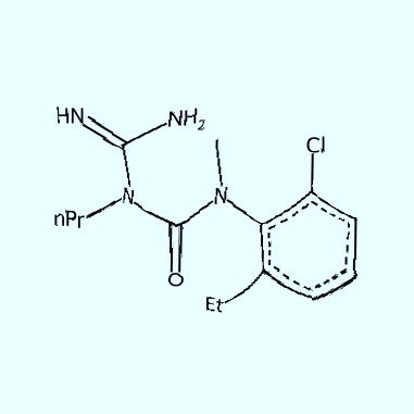 CCCN(C(=N)N)C(=O)N(C)c1c(Cl)cccc1CC